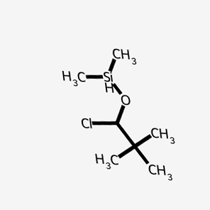 C[SiH](C)OC(Cl)C(C)(C)C